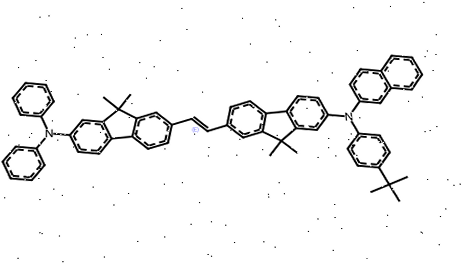 CC(C)(C)c1ccc(N(c2ccc3c(c2)C(C)(C)c2cc(/C=C/c4ccc5c(c4)C(C)(C)c4cc(N(c6ccccc6)c6ccccc6)ccc4-5)ccc2-3)c2ccc3ccccc3c2)cc1